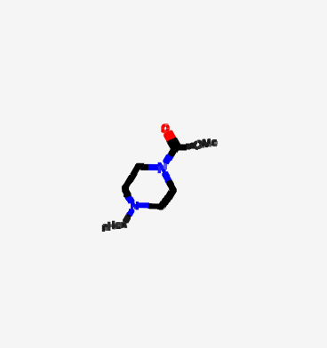 [CH2]CCCCCN1CCN(C(=O)OC)CC1